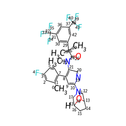 Cc1cc(F)ccc1-c1cc(N2CC3CC[C@@H](C2)O3)ncc1N(C)C(=O)C(C)(C)c1cc(C(F)(F)F)cc(C(F)(F)F)c1